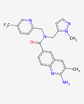 Cc1cc2cc(C(=O)N(Cc3ccc(C(F)(F)F)cn3)Cc3ccnn3C)ccc2nc1N